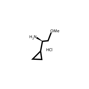 COC[C@H](N)C1CC1.Cl